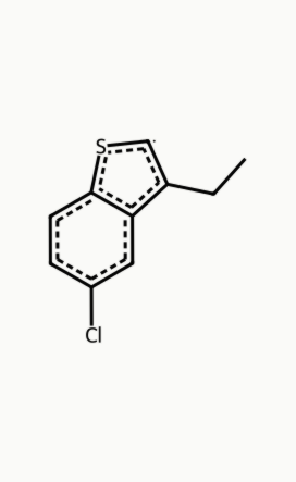 CCc1[c]sc2ccc(Cl)cc12